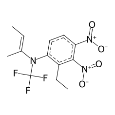 CC=C(C)N(c1ccc([N+](=O)[O-])c([N+](=O)[O-])c1CC)C(F)(F)F